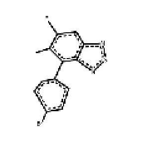 Fc1cc2nsnc2c(-c2ccc(Br)cc2)c1F